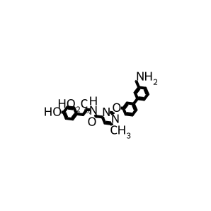 Cc1cc(C(=O)N[C@@H](Cc2ccc(O)cc2)C(=O)O)nc(Oc2cccc(-c3cccc(CN)c3)c2)n1